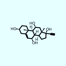 C#C[C@]1(O)CC[C@H]2[C@H]3[C@H]([C@@H](O)C[C@@]21C)[C@@]1(C)CC[C@H](O)CC1=C[C@@H]3O